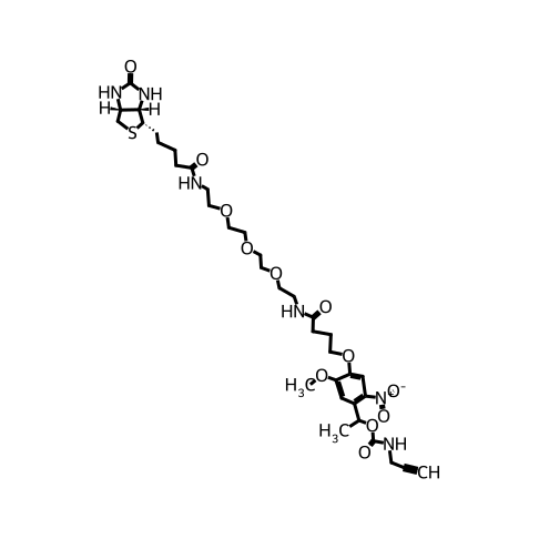 C#CCNC(=O)OC(C)c1cc(OC)c(OCCCC(=O)NCCOCCOCCOCCNC(=O)CCCC[C@@H]2SC[C@@H]3NC(=O)N[C@@H]32)cc1[N+](=O)[O-]